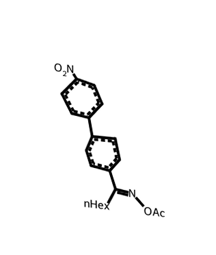 CCCCCCC(=NOC(C)=O)c1ccc(-c2ccc([N+](=O)[O-])cc2)cc1